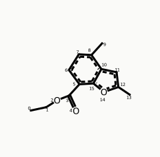 CCOC(=O)c1ccc(C)c2cc(C)oc12